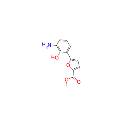 COC(=O)c1ccc(-c2cccc(N)c2O)o1